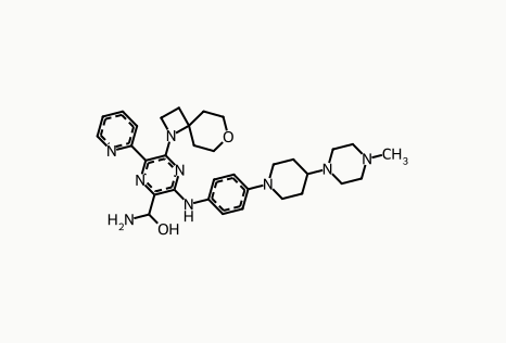 CN1CCN(C2CCN(c3ccc(Nc4nc(N5CCC56CCOCC6)c(-c5ccccn5)nc4C(N)O)cc3)CC2)CC1